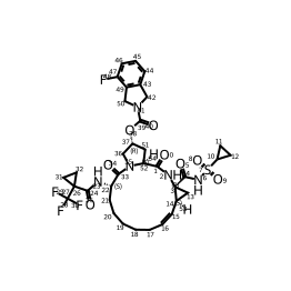 O=C1N[C@]2(C(=O)NS(=O)(=O)C3CC3)C[C@H]2C=CCCCCC[C@H](NC(=O)C2(C(F)(F)F)CC2)C(=O)N2C[C@H](OC(=O)N3Cc4cccc(F)c4C3)C[C@@H]12